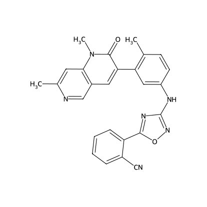 Cc1cc2c(cn1)cc(-c1cc(Nc3noc(-c4ccccc4C#N)n3)ccc1C)c(=O)n2C